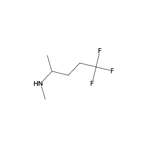 CNC(C)CCC(F)(F)F